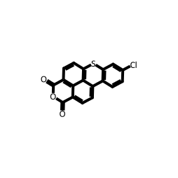 O=c1oc(=O)c2ccc3c4ccc(Cl)cc4sc4ccc1c2c43